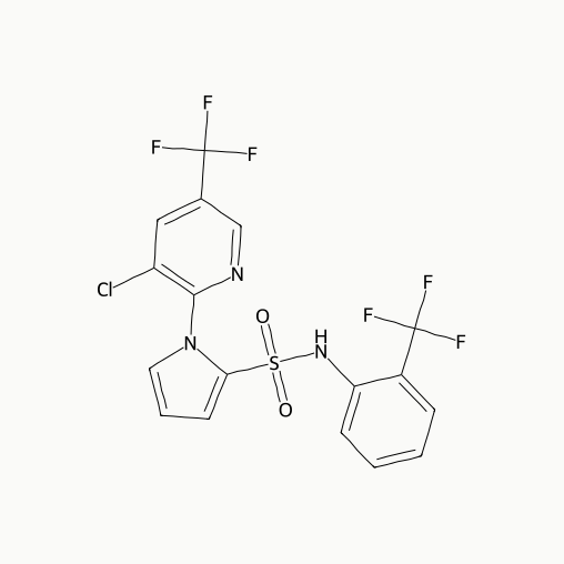 O=S(=O)(Nc1ccccc1C(F)(F)F)c1cccn1-c1ncc(C(F)(F)F)cc1Cl